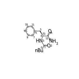 CCCCC(=O)N[C@@H](Cc1ccccc1)C(N)=O